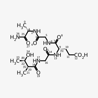 C[C@H](NC(=O)CNC(=O)[C@H](CCC(=O)O)NC(=O)CNC(=O)[C@@H](C)[C@@H](C)O)C(N)=O